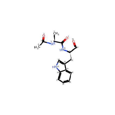 CC(=O)N[C@@H](C)C(=O)N[C@H]([C]=O)Cc1c[nH]c2ccccc12